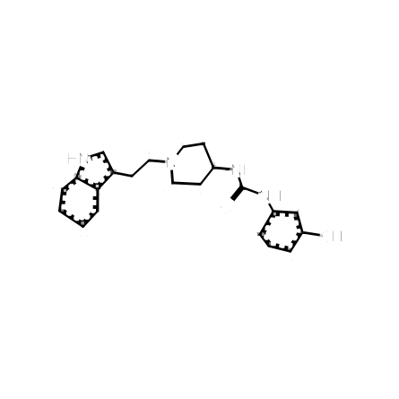 Cc1cccc(NC(=O)NC2CCN(CCc3c[nH]c4ccccc34)CC2)c1